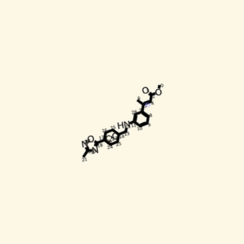 COC(=O)/C=C(\C)c1cccc(NCC23CCC(c4nc(C)no4)(CC2)CC3)c1